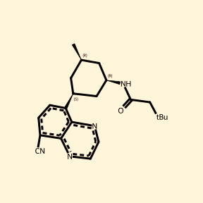 C[C@H]1C[C@@H](NC(=O)CC(C)(C)C)C[C@@H](c2ccc(C#N)c3nccnc23)C1